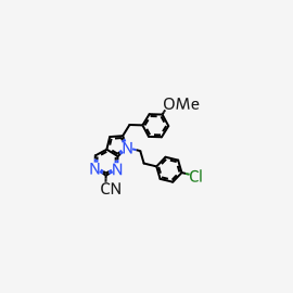 COc1cccc(Cc2cc3cnc(C#N)nc3n2CCc2ccc(Cl)cc2)c1